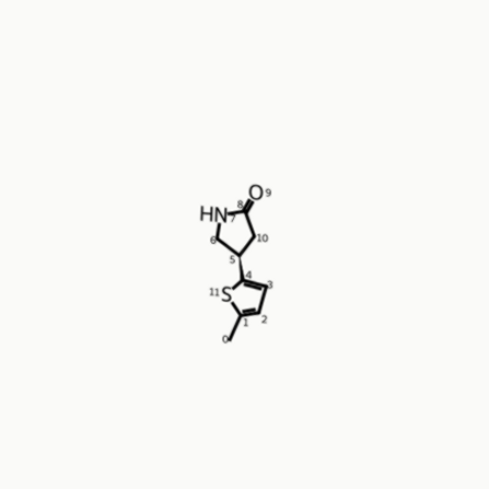 Cc1ccc([C@H]2CNC(=O)C2)s1